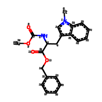 CCn1cc(CC(NC(=O)OC(C)(C)C)C(=O)OCc2ccccc2)c2ccccc21